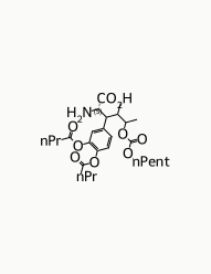 CCCCCOC(=O)OC(C)C(C)C(c1ccc(OC(=O)CCC)c(OC(=O)CCC)c1)[C@H](N)C(=O)O